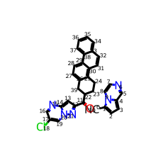 N#Cc1ccc2cnccn12.O=C(c1cc2ncc(Cl)cn2n1)C1CCc2c(ccc3c2ccc2ccccc23)C1